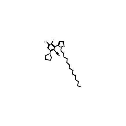 CCCCCCCCCCCCCCn1nccc1-c1c(F)c(Cl)cc(N2CCCC2)c1C#N